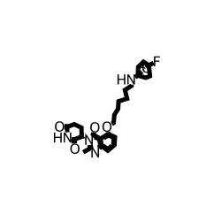 Cc1nc2cccc(OCCCCCCCNC34CCC(F)(CC3)CC4)c2c(=O)n1[C@H]1CCC(=O)NC1=O